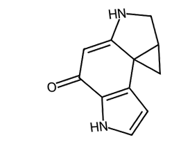 O=C1C=C2NCC3CC23c2cc[nH]c21